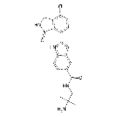 CC(C)(N)CNC(=O)c1ccc2[nH]c(-c3ccc(Cl)c4c3C(=O)NC4)cc2c1